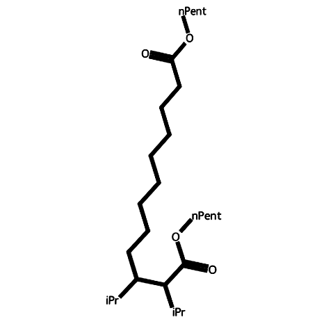 CCCCCOC(=O)CCCCCCCCC(C(C)C)C(C(=O)OCCCCC)C(C)C